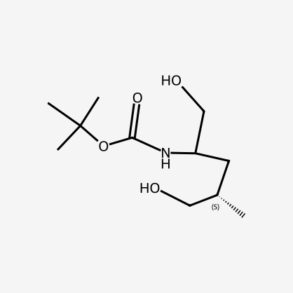 C[C@H](CO)CC(CO)NC(=O)OC(C)(C)C